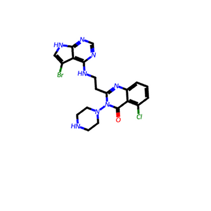 O=c1c2c(Cl)cccc2nc(CCNc2ncnc3[nH]cc(Br)c23)n1N1CCNCC1